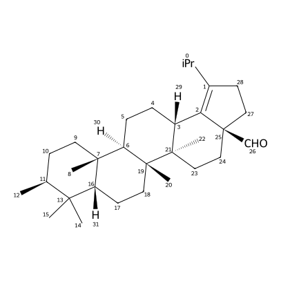 CC(C)C1=C2[C@H]3CC[C@@H]4[C@@]5(C)CC[C@H](C)C(C)(C)[C@H]5CC[C@@]4(C)[C@]3(C)CC[C@@]2(C=O)CC1